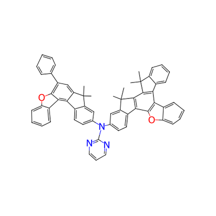 CC1(C)c2cc(N(c3ccc4c(c3)C(C)(C)c3c5c(c6c(oc7ccccc76)c3-4)-c3ccccc3C5(C)C)c3ncccn3)ccc2-c2c1cc(-c1ccccc1)c1oc3ccccc3c21